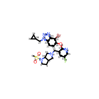 CS(=O)(=O)N1CCC2CN(Cc3cc(F)cnc3Oc3ccc4c(nnn4CC4CC4)c3Br)CC21